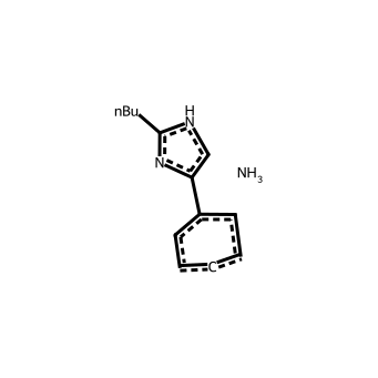 CCCCc1nc(-c2ccccc2)c[nH]1.N